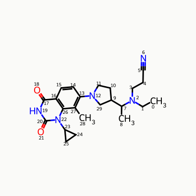 CCN(CCC#N)C(C)C1CCN(c2ccc3c(=O)[nH]c(=O)n(C4CC4)c3c2C)C1